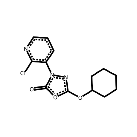 O=c1oc(OC2CCCCC2)nn1-c1cccnc1Cl